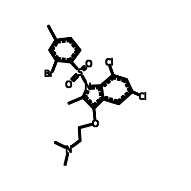 Cc1ccc(S(=O)(=O)n2c(C)c(OCCN(C)C)c3cc(Cl)cc(Cl)c32)c(Br)c1